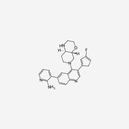 Nc1ncccc1-c1ccc2ncc(C3=CC(F)=CC3)c(N3CC[C@H]4NCCO[C@@H]4C3)c2c1